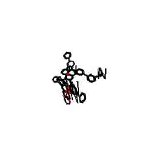 N#Cc1cccc(-c2ccc(-n3c4c(c5ccccc53)C=C(c3ccccc3)CC4)c(-c3c#cc(-n4c5ccccc5c5cc(-c6ccccc6)ccc54)c(-c4nc(-c5ccccc5)nc(-c5ccccc5)n4)c3)c2)c1